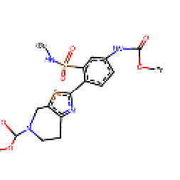 CC(C)OC(=O)Nc1ccc(-c2nc3c(s2)CN(C(O)OC(C)C)CC3)c(S(=O)(=O)NC(C)(C)C)c1